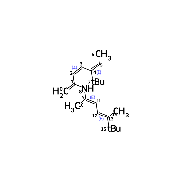 C=C(/C=C\C(=C/C)C(C)(C)C)N/C(C)=C/C=C(\C)C(C)(C)C